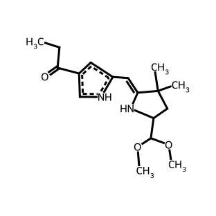 CCC(=O)c1c[nH]c(/C=C2\NC(C(OC)OC)CC2(C)C)c1